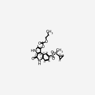 CCCOC(=O)Oc1c[nH]c2c(=O)[nH]c3ccc(S(=O)(=O)N(C)C4CC4)cc3c12